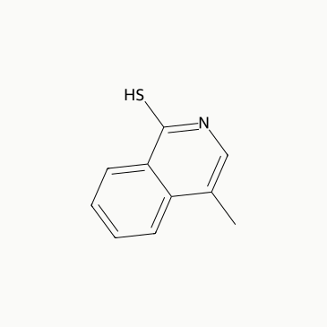 Cc1cnc(S)c2ccccc12